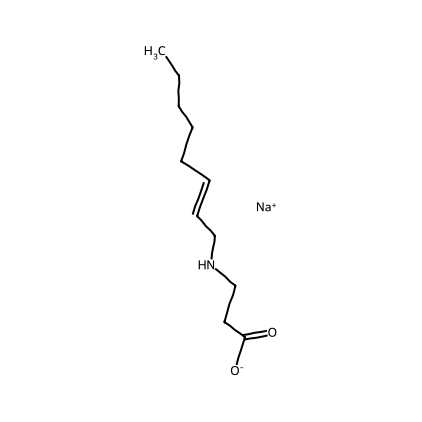 CCCCCC=CCNCCC(=O)[O-].[Na+]